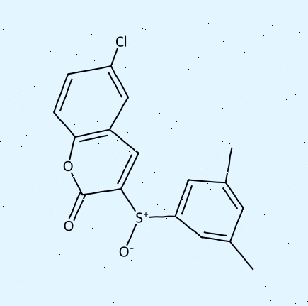 Cc1cc(C)cc([S+]([O-])c2cc3cc(Cl)ccc3oc2=O)c1